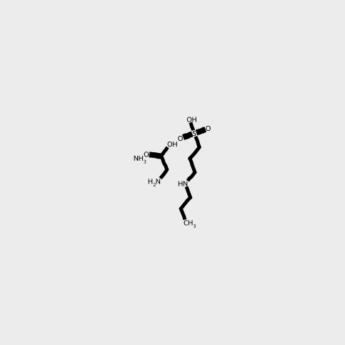 CCCNCCCS(=O)(=O)O.N.NCC(=O)O